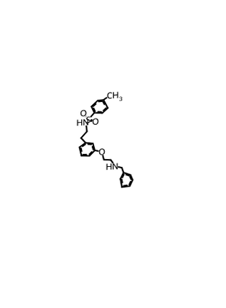 Cc1ccc(S(=O)(=O)NCCc2cccc(OCCNCc3ccccc3)c2)cc1